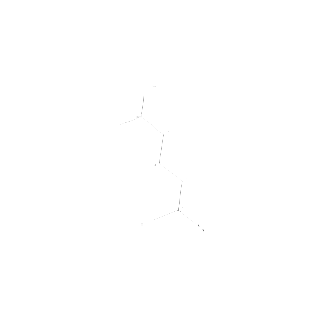 CC(C)C(C)CCCC(N)I